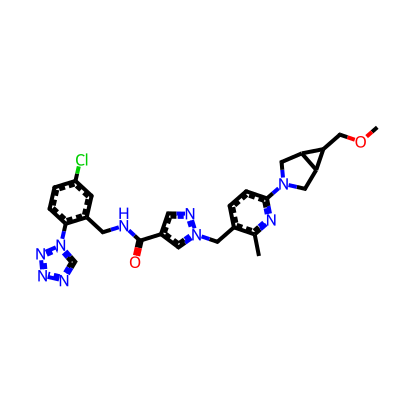 COCC1C2CN(c3ccc(Cn4cc(C(=O)NCc5cc(Cl)ccc5-n5cnnn5)cn4)c(C)n3)CC12